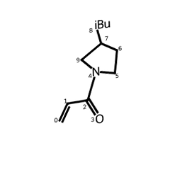 C=CC(=O)N1CCC(C(C)CC)C1